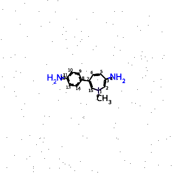 CI1C=C(N)C=CC(c2ccc(N)cc2)=C1